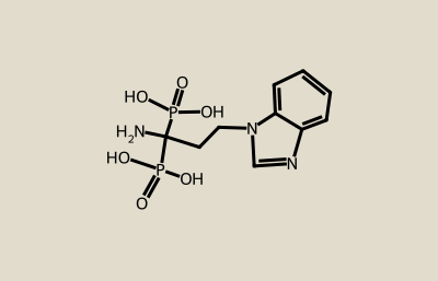 NC(CCn1cnc2ccccc21)(P(=O)(O)O)P(=O)(O)O